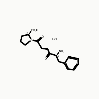 Cl.N[C@@H](Cc1ccccc1)C(=O)CCC(=O)N1CCC[C@H]1C(=O)O